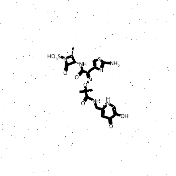 C[C@H]1[C@H](NC(=O)/C(=N\OC(C)(C)C(=O)NCc2cc(=O)c(O)c[nH]2)c2csc(N)n2)C(=O)N1S(=O)(=O)O